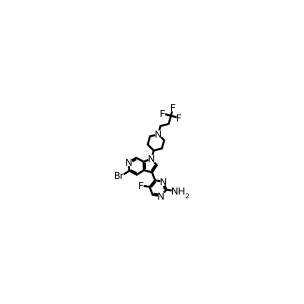 Nc1ncc(F)c(-c2cn(C3CCN(CCC(F)(F)F)CC3)c3cnc(Br)cc23)n1